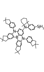 C[SiH2]c1ccc2c(c1)C1(C)CCCCC1(C)N2c1cc2c3c(c1)N(c1ccc4c(c1)CC(C)(C)C4)c1cc4c(cc1B3c1cc3c(cc1N2c1ccc2c(c1)CC(C)(C)C2)CC(C)(C)C3)CC(C)(C)C4